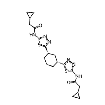 O=C(CC1CC1)Nc1nnc([C@@H]2CCC[C@@H](c3nnc(NC(=O)CC4CC4)s3)C2)s1